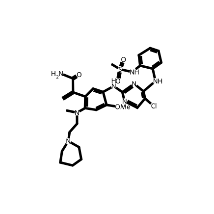 C=C(C(N)=O)c1cc(Nc2ncc(Cl)c(Nc3ccccc3NS(C)(=O)=O)n2)c(OC)cc1N(C)CCN1CCCCC1